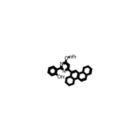 CCCOc1cc(C2=CC3=C(C=CC4C=CCCC34)C3CCCCC23)nc(-c2ccccc2O)n1